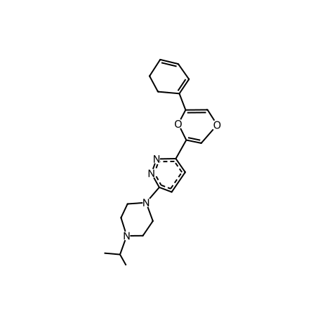 CC(C)N1CCN(c2ccc(C3=COC=C(C4=CC=CCC4)O3)nn2)CC1